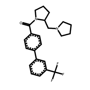 O=C(c1ccc(-c2cccc(C(F)(F)F)c2)cc1)N1CCCC1CN1CCCC1